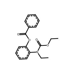 CCOC(=O)N(CC)c1ccccc1OC(=O)c1ccccc1